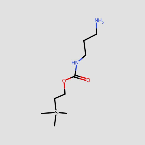 C[Si](C)(C)CCOC(=O)NCCCN